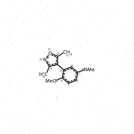 [CH]Nc1ccc(OC)c(-c2c(C)noc2C)c1